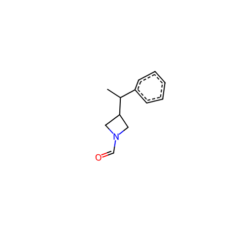 CC(c1ccccc1)C1CN(C=O)C1